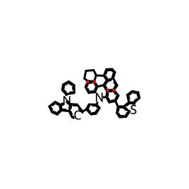 c1ccc(-n2c3ccccc3c3ccc(-c4cccc(N(c5cccc(-c6cccc7sc8ccccc8c67)c5)c5ccccc5-c5cccc6cccc(C7CCCCC7)c56)c4)cc32)cc1